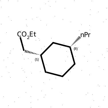 CCC[C@@H]1CCC[C@H](CC(=O)OCC)C1